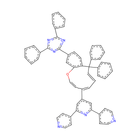 C1=C/C(c2cc(-c3ccncc3)nc(-c3ccncc3)c2)=C\C=C\C(c2ccccc2)(c2ccccc2)c2ccc(-c3nc(-c4ccccc4)nc(-c4ccccc4)n3)cc2O\1